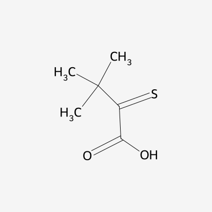 CC(C)(C)C(=S)C(=O)O